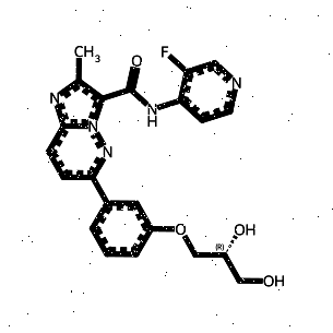 Cc1nc2ccc(-c3cccc(OC[C@H](O)CO)c3)nn2c1C(=O)Nc1ccncc1F